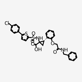 O=C(COc1ccccc1[C@@H]1CC1(NS(=O)(=O)c1ccc(-c2ccc(Cl)cc2)s1)C(=O)O)NCc1ccccc1